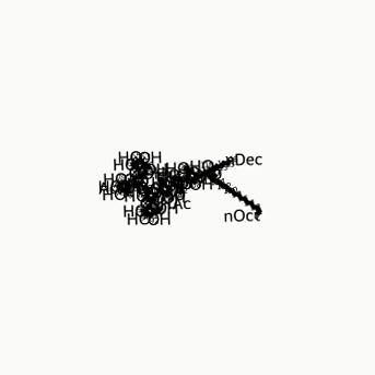 CCCCCCCC/C=C\CCCCCCCCCCCCCC(=O)N[C@@H](CO[C@@H]1OC(CO)[C@@H](O[C@@H]2OC(CO)[C@H](O[C@@H]3OC(CO)[C@H](O)[C@H](O[C@@H]4OC(CO[C@@H]5OC(CO)[C@@H](O[C@@H]6OC(CO)[C@H](O)[C@H](O)C6O)[C@H](O[C@H]6OC(C)[C@@H](O)C(O)[C@@H]6O)C5NC(C)=O)[C@H](O)[C@H](O[C@@H]5OC(CO)[C@H](O)[C@H](O)C5O)C4NC(C)=O)C3O)[C@H](O)C2O)[C@H](O)C1O)[C@H](O)/C=C/CCCCCCCCCCCCC